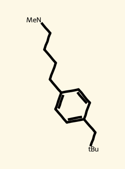 CNCCCCc1ccc(CC(C)(C)C)cc1